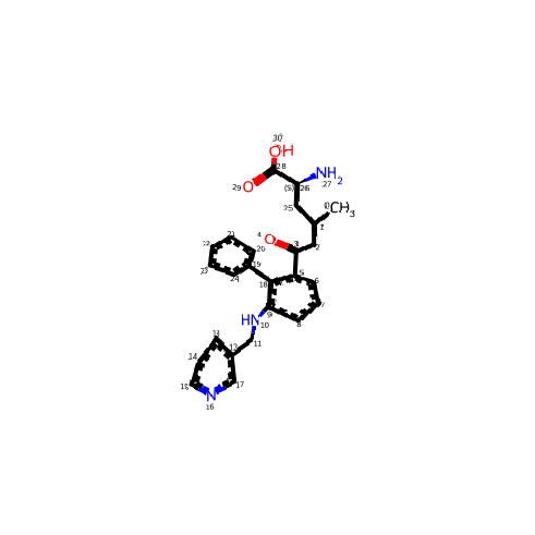 CC(CC(=O)c1cccc(NCc2cccnc2)c1-c1ccccc1)C[C@H](N)C(=O)O